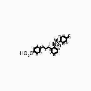 O=C(O)c1ccc(CCCc2ccccc2NS(=O)(=O)c2ccc(F)cc2)cc1